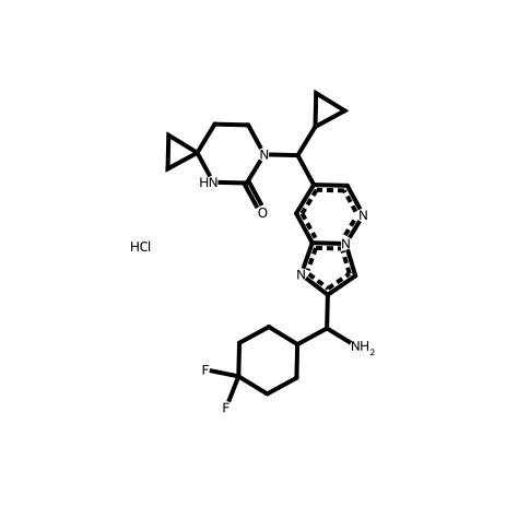 Cl.NC(c1cn2ncc(C(C3CC3)N3CCC4(CC4)NC3=O)cc2n1)C1CCC(F)(F)CC1